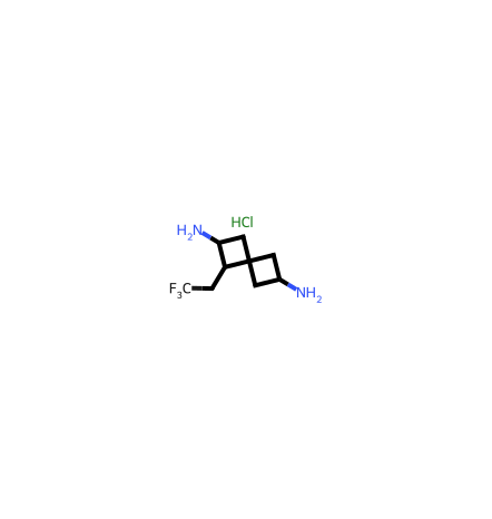 Cl.NC1CC2(C1)CC(N)C2CC(F)(F)F